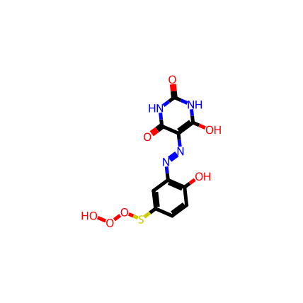 O=c1[nH]c(O)c(N=Nc2cc(SOOO)ccc2O)c(=O)[nH]1